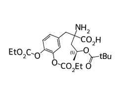 CCOC(=O)Oc1ccc(CC(N)(C[C@H](C)OC(=O)C(C)(C)C)C(=O)O)cc1OC(=O)OCC